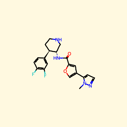 Cn1nccc1-c1coc(C(=O)N[C@H]2CNCC[C@@H]2c2ccc(F)c(F)c2)c1